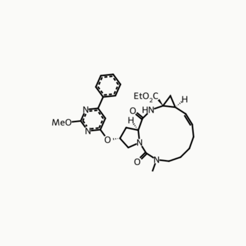 CCOC(=O)[C@@]12C[C@H]1/C=C\CCCCN(C)C(=O)N1C[C@H](Oc3cc(-c4ccccc4)nc(OC)n3)C[C@H]1C(=O)N2